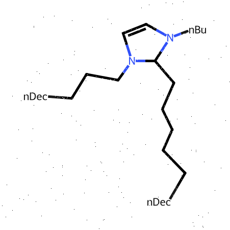 CCCCCCCCCCCCCCCC1N(CCCC)C=CN1CCCCCCCCCCCCC